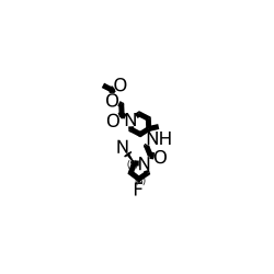 CC(=O)OCC(=O)N1CCC(C)(NCC(=O)N2C[C@@H](F)C[C@H]2C#N)CC1